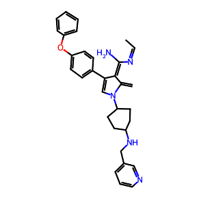 C=c1/c(=C(N)\N=C/C)c(-c2ccc(Oc3ccccc3)cc2)cn1C1CCC(NCc2cccnc2)CC1